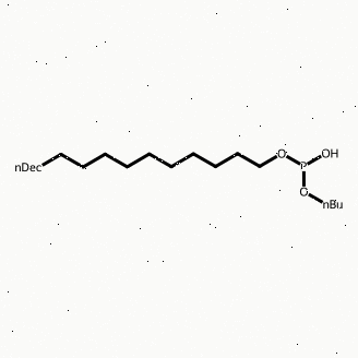 CCCCCCCCCCCCCCCCCCCCOP(O)OCCCC